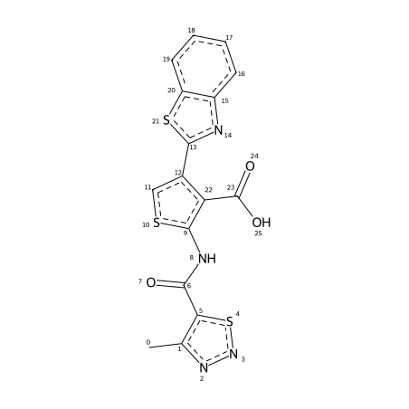 Cc1nnsc1C(=O)Nc1scc(-c2nc3ccccc3s2)c1C(=O)O